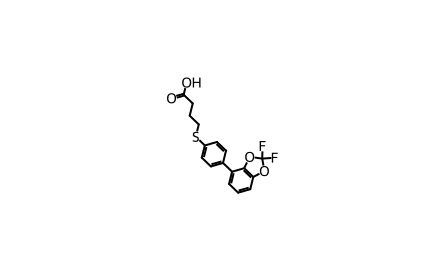 O=C(O)CCCSc1ccc(-c2cccc3c2OC(F)(F)O3)cc1